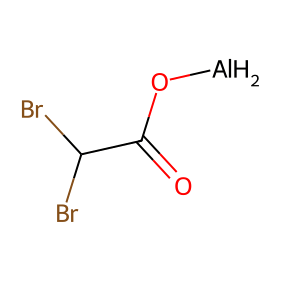 O=C([O][AlH2])C(Br)Br